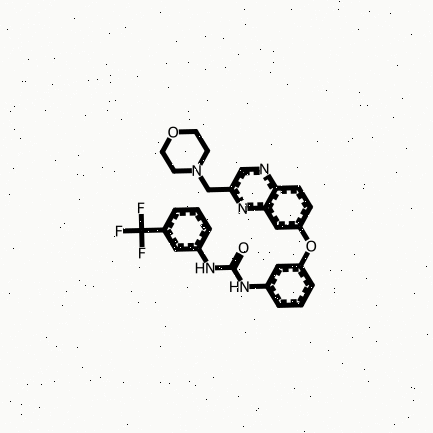 O=C(Nc1cccc(Oc2ccc3ncc(CN4CCOCC4)nc3c2)c1)Nc1cccc(C(F)(F)F)c1